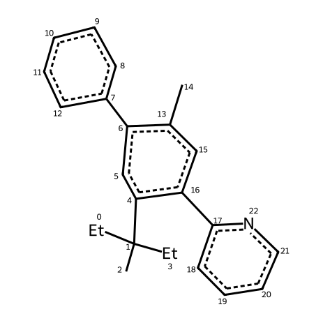 CCC(C)(CC)c1cc(-c2ccccc2)c(C)cc1-c1ccccn1